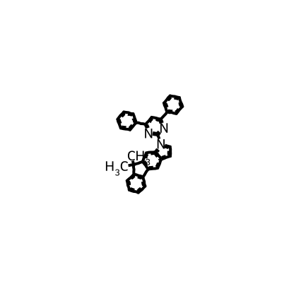 CC1(C)c2ccccc2-c2cc3ccn(-c4nc(-c5ccccc5)cc(-c5ccccc5)n4)c3cc21